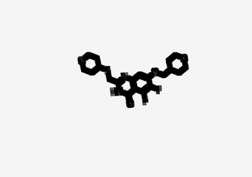 O=c1[nH]c(CSC2CCOCC2)nc2cc(OCC3CCOCC3)c(F)c(F)c12